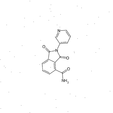 NC(=O)c1cccc2c1C(=O)N(c1cccnc1)C2=O